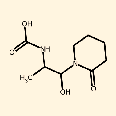 CC(NC(=O)O)C(O)N1CCCCC1=O